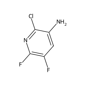 Nc1cc(F)c(F)nc1Cl